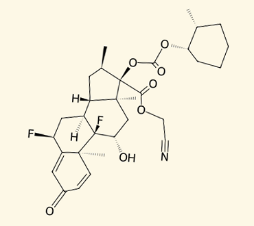 C[C@@H]1CCCC[C@@H]1OC(=O)O[C@]1(C(=O)OCC#N)[C@H](C)C[C@H]2[C@@H]3C[C@H](F)C4=CC(=O)C=C[C@]4(C)[C@@]3(F)[C@@H](O)C[C@@]21C